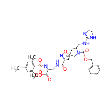 Cc1cc(C)c(S(=O)(=O)NC(CNC(=O)C2=NO[C@]3(C2)CC(CNC2=NCCN2)N(C(=O)OCc2ccccc2)C3)C(=O)O)c(C)c1